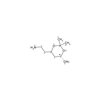 CC(=O)O[C@@H]1CC(CCN)OC(C)(C)O1